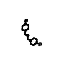 CCN1CCN(C[N]CN2CCN(CC)CC2)CC1